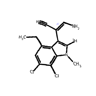 [2H]c1c(/C(C#N)=C\N)c2c(CC)cc(Cl)c(Cl)c2n1C